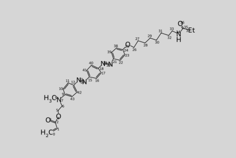 C=CC(=O)OCCN(C)c1ccc(N=Nc2ccc(N=Nc3ccc(OCCCCCCCCNC(=O)CC)cc3)cc2)cc1